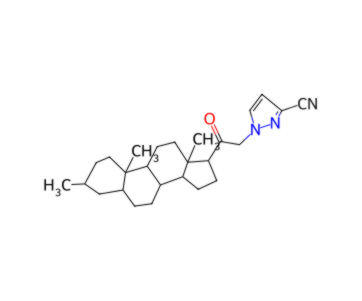 CC1CCC2(C)C(CCC3C2CCC2(C)C(C(=O)Cn4ccc(C#N)n4)CCC32)C1